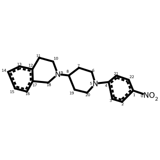 O=[N+]([O-])c1ccc(N2CCC(N3CCc4ccccc4C3)CC2)cc1